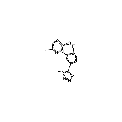 Cc1ccc(=O)n(-c2cc(-c3cnnn3C)ccc2F)n1